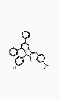 CN(C)c1ccc(/C=C2\C(=O)C(c3ccccc3)[n+]3c2cc(-c2ccccc2)cc3-c2ccccc2)cc1.[Cl-]